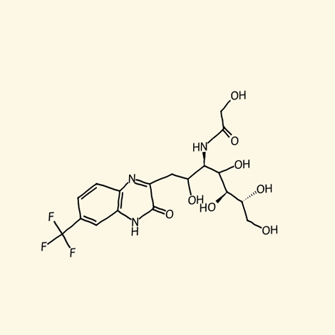 O=C(CO)N[C@H](C(O)Cc1nc2ccc(C(F)(F)F)cc2[nH]c1=O)C(O)[C@H](O)[C@H](O)CO